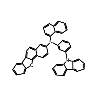 c1cc(N(c2ccc3c(ccc4c5ccccc5oc34)c2)c2cccc3ccccc23)cc(-n2c3ccccc3c3ccccc32)c1